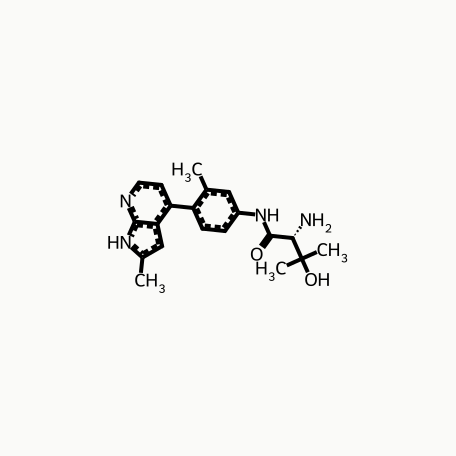 Cc1cc2c(-c3ccc(NC(=O)[C@H](N)C(C)(C)O)cc3C)ccnc2[nH]1